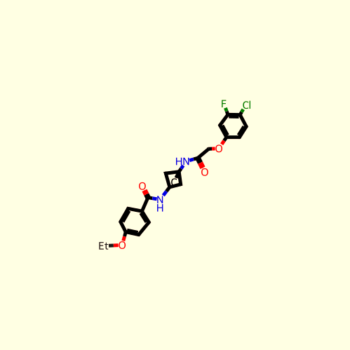 CCOc1ccc(C(=O)NC23CC(NC(=O)COc4ccc(Cl)c(F)c4)(C2)C3)cc1